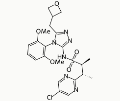 COc1cccc(OC)c1-n1c(CC2COC2)nnc1NS(=O)(=O)[C@@H](C)[C@H](C)c1ncc(Cl)cn1